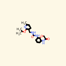 Cc1ccc(CNC(=O)Nc2cccc3c2OCC(=O)N3)c(OC(C)C)n1